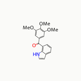 COc1cc(C(=O)c2cccc3cc[nH]c23)cc(OC)c1OC